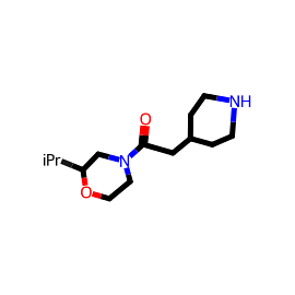 CC(C)C1CN(C(=O)CC2CCNCC2)CCO1